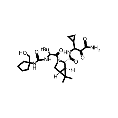 CC(C)(C)[C@H](NC(=O)NC1(CO)CCCC1)C(=O)N1C[C@H]2[C@@H]([C@H]1C(=O)NC(C(=O)C(N)=O)C1CC1)C2(C)C